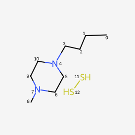 CCCCN1CCN(C)CC1.SS